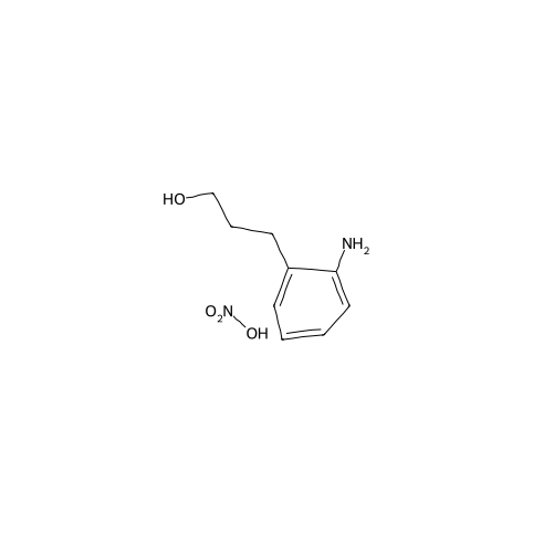 Nc1ccccc1CCCO.O=[N+]([O-])O